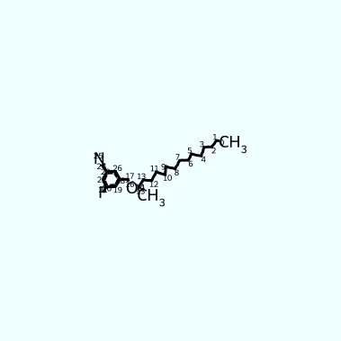 CCCCCCCCCCCCCC[C@H](C)OCc1cc(F)cc(C#N)c1